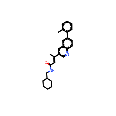 CC(=CC(=O)NCC1CCCCC1)c1cnc2ccc(-c3ccccc3C)cc2c1